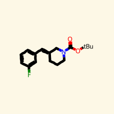 CC(C)(C)OC(=O)N1CCC/C(=C\c2cccc(F)c2)C1